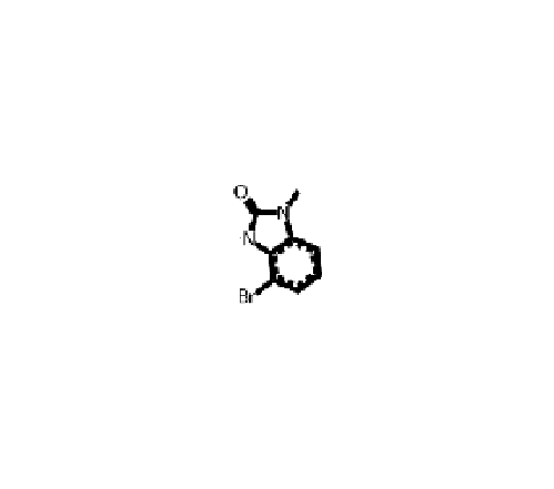 CN1C(=O)[N]c2c(Br)cccc21